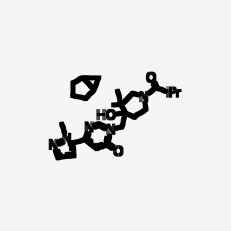 C1CC2CC2C1.CC(C)C(=O)N1CCC(O)(Cn2cnc(-c3ccnn3C)cc2=O)C(C)(C)C1